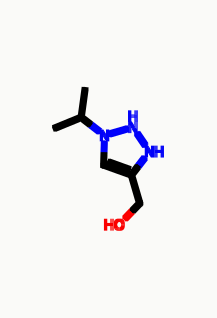 CC(C)N1C=C(CO)NN1